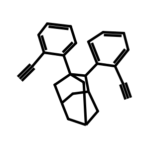 C#Cc1ccccc1C1C2CC3CC(C2)CC1(c1ccccc1C#C)C3